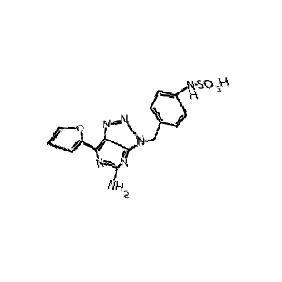 Nc1nc(-c2ccco2)c2nnn(Cc3ccc(NS(=O)(=O)O)cc3)c2n1